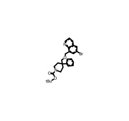 CC(C)(C)OC(=O)N1CCC(COCc2cc(Br)cc3cccnc23)(c2ccccc2)CC1